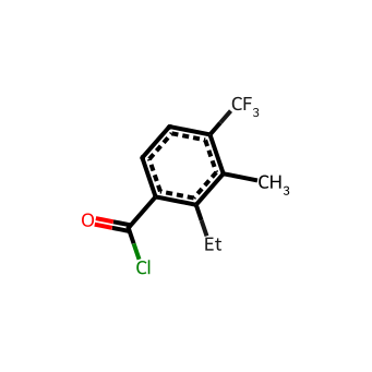 CCc1c(C(=O)Cl)ccc(C(F)(F)F)c1C